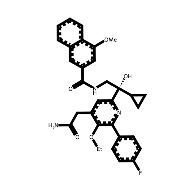 CCOc1c(CC(N)=O)cc([C@@](O)(CNC(=O)c2cc(OC)c3ccccc3c2)C2CC2)nc1-c1ccc(F)cc1